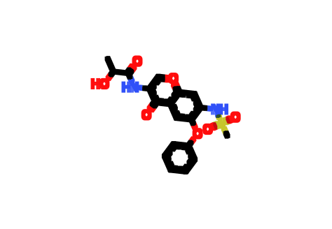 CC(O)C(=O)Nc1coc2cc(NS(C)(=O)=O)c(Oc3ccccc3)cc2c1=O